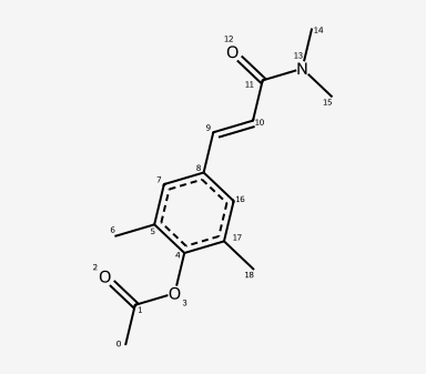 CC(=O)Oc1c(C)cc(/C=C/C(=O)N(C)C)cc1C